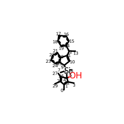 CC1=C(C)C(O)([Si](C)(C)C2C=C(C(C)c3ccccc3)c3ccccc32)C(C)=C1C